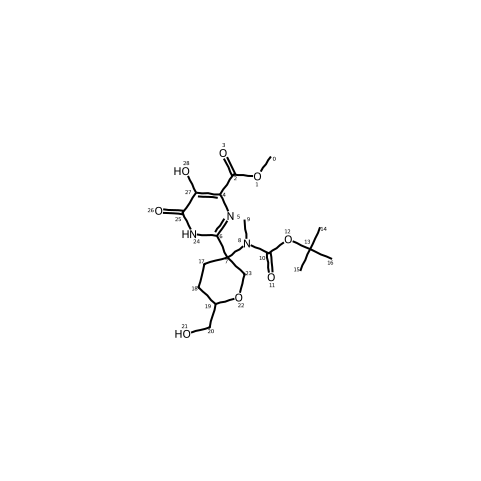 COC(=O)c1nc(C2(N(C)C(=O)OC(C)(C)C)CCC(CO)OC2)[nH]c(=O)c1O